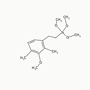 COc1c(C)ccc(CC[Si](OC)(OC)OC)c1C